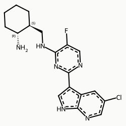 N[C@@H]1CCCC[C@H]1CNc1nc(-c2c[nH]c3ncc(Cl)cc23)ncc1F